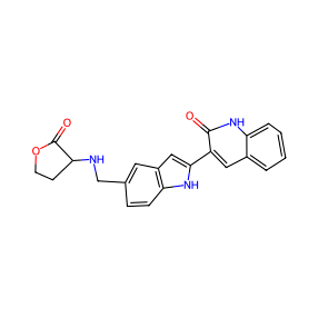 O=C1OCCC1NCc1ccc2[nH]c(-c3cc4ccccc4[nH]c3=O)cc2c1